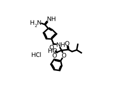 CC(C)CC(=O)C(NC(=O)c1ccc(C(=N)N)cc1)(Oc1ccccc1)C(=O)O.Cl